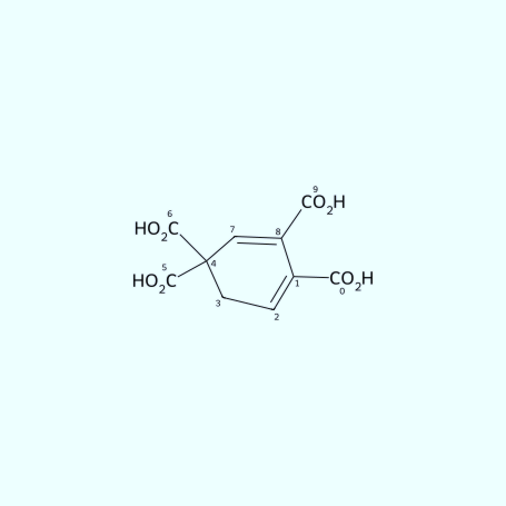 O=C(O)C1=CCC(C(=O)O)(C(=O)O)C=C1C(=O)O